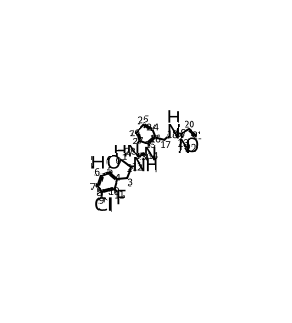 OCC(Cc1cccc(Cl)c1F)Nc1nc2c(CNc3ccon3)cccc2[nH]1